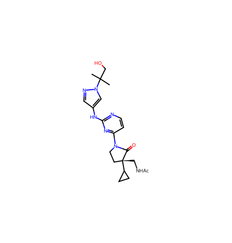 CC(=O)NC[C@@]1(C2CC2)CCN(c2ccnc(Nc3cnn(C(C)(C)CO)c3)n2)C1=O